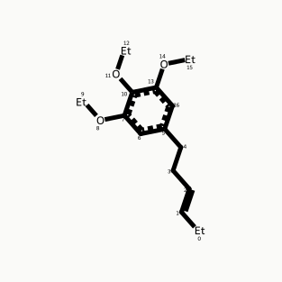 [CH2]CC=CCCc1cc(OCC)c(OCC)c(OCC)c1